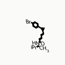 CC(C)C(C)NC(=O)C=CC=CC1CC1c1ccc(Br)cc1